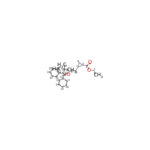 CCOC(=O)C1CC1CCO[Si](c1ccccc1)(c1ccccc1)C(C)(C)C